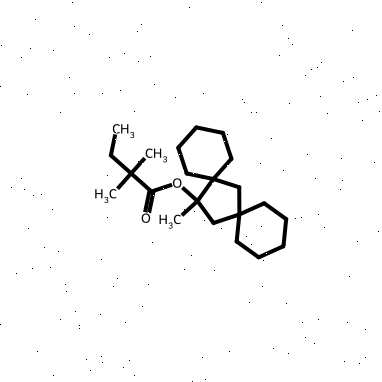 CCC(C)(C)C(=O)OC1(C)CC2(CCCCC2)CC12CCCCC2